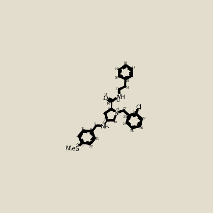 CSc1ccc(CN[C@H]2C[C@@H](C(=O)NCCc3ccccc3)N(Cc3ccccc3Cl)C2)cc1